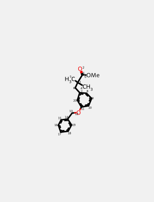 COC(=O)C(C)(C)Cc1cccc(OCc2ccccc2)c1